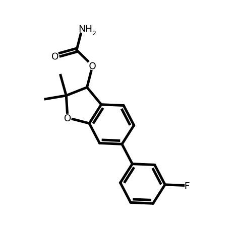 CC1(C)Oc2cc(-c3cccc(F)c3)ccc2C1OC(N)=O